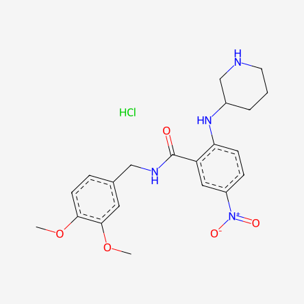 COc1ccc(CNC(=O)c2cc([N+](=O)[O-])ccc2NC2CCCNC2)cc1OC.Cl